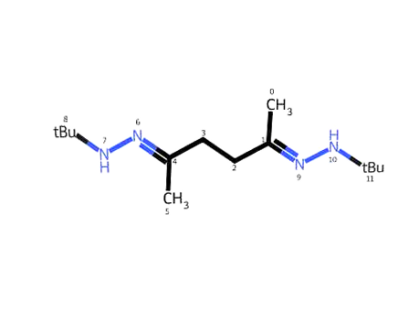 C/C(CC/C(C)=N/NC(C)(C)C)=N\NC(C)(C)C